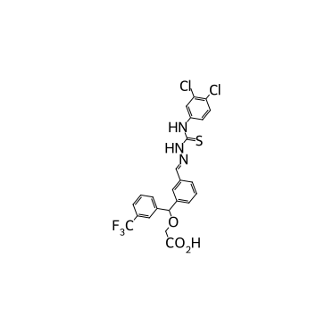 O=C(O)COC(c1cccc(C=NNC(=S)Nc2ccc(Cl)c(Cl)c2)c1)c1cccc(C(F)(F)F)c1